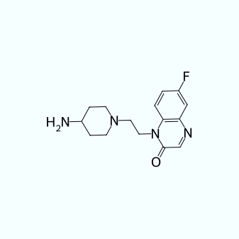 NC1CCN(CCn2c(=O)cnc3cc(F)ccc32)CC1